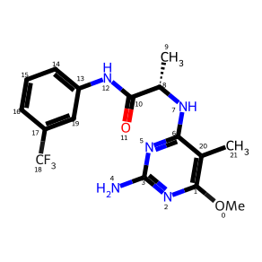 COc1nc(N)nc(N[C@@H](C)C(=O)Nc2cccc(C(F)(F)F)c2)c1C